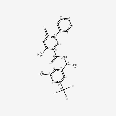 Cc1cc(=O)n(-c2ccccc2)nc1C(=O)N[C@H](C)c1cc(N)cc(C(F)(F)F)c1